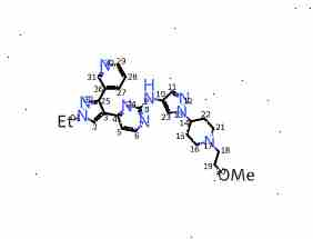 CCn1cc(-c2ccnc(Nc3cnn(C4CCN(CCOC)CC4)c3)n2)c(-c2cccnc2)n1